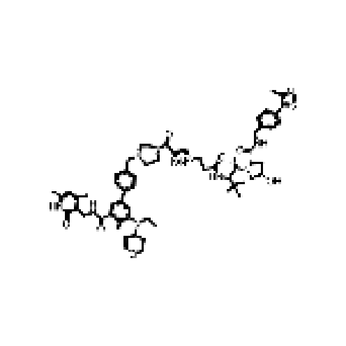 CCN(c1cc(-c2ccc(CN3CCN(C(=O)c4cn(CCC(=O)NC(C(=O)N5C[C@H](O)C[C@H]5C(=O)NCc5ccc(-c6scnc6C)cc5)C(C)(C)C)nn4)CC3)cc2)cc(C(=O)NCc2c(C)cc(C)[nH]c2=O)c1C)C1CCOCC1